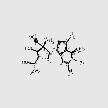 C#C[C@@]1(N)C(O)[C@@H]([C@H](C)O)O[C@H]1n1cc(C)c2c1N=C(N)N(N)C2=C